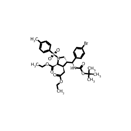 CCOC(=O)C[C@@H]1[C@@H]([C@@H](NC(=O)OC(C)(C)C)c2ccc(Br)cc2)CN(S(=O)(=O)c2ccc(C)cc2)[C@@H]1C(=O)OCC